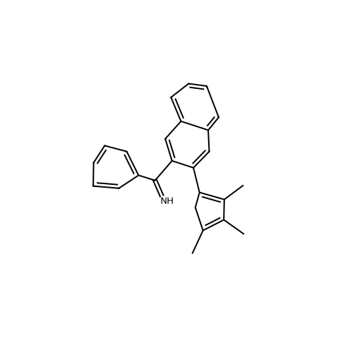 CC1=C(C)C(C)=C(c2cc3ccccc3cc2C(=N)c2ccccc2)C1